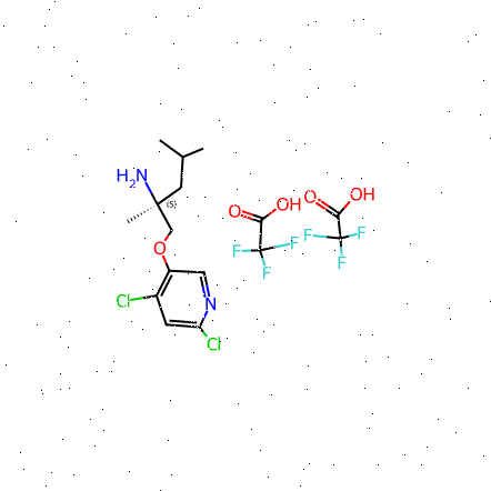 CC(C)C[C@](C)(N)COc1cnc(Cl)cc1Cl.O=C(O)C(F)(F)F.O=C(O)C(F)(F)F